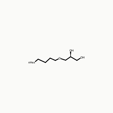 CCCCCCCCCCOC[C@@H](O)CO